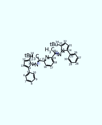 C/C(=N\n1c(-c2ccccc2)ccc1C(C)(C)C)c1cccc(/C(C)=N/n2c(-c3ccccc3)ccc2C(C)(C)C)n1